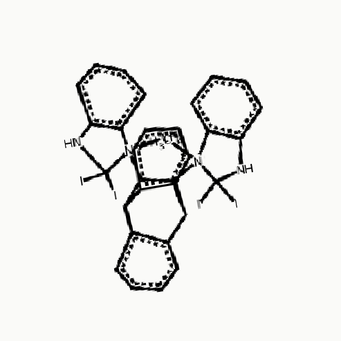 C[N+]1(C2C3c4ccccc4C(c4ccccc43)C2[N+]2(C)c3ccccc3NC2(I)I)c2ccccc2NC1(I)I